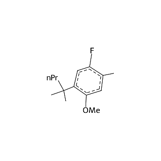 CCCC(C)(C)c1cc(F)c(C)cc1OC